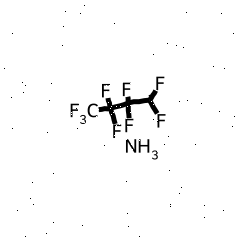 F[C](F)C(F)(F)C(F)(F)C(F)(F)F.N